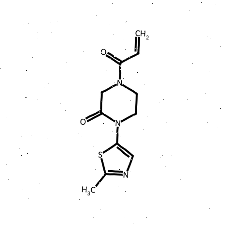 C=CC(=O)N1CCN(c2cnc(C)s2)C(=O)C1